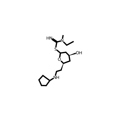 CCN(C)C(=N)SC1C[C@@H](O)C[C@@H](CCNC2CCCC2)O1